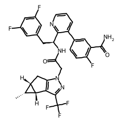 C[C@@H]1[C@@H]2Cc3c(c(C(F)(F)F)nn3CC(=O)N[C@@H](Cc3cc(F)cc(F)c3)c3ncccc3-c3ccc(F)c(C(N)=O)c3)[C@H]12